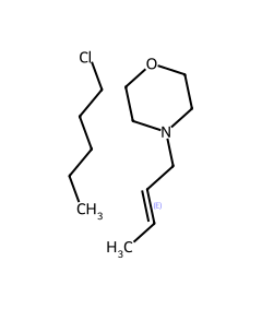 C/C=C/CN1CCOCC1.CCCCCCl